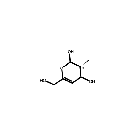 C[C@@H]1C(O)C=C(CO)OC1O